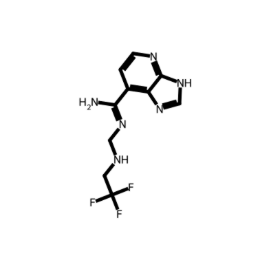 NC(=NCNCC(F)(F)F)c1ccnc2[nH]cnc12